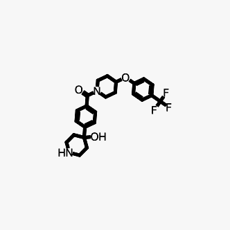 O=C(c1ccc(C2(O)CCNCC2)cc1)N1CCC(Oc2ccc(C(F)(F)F)cc2)CC1